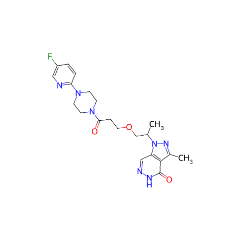 Cc1nn(C(C)COCCC(=O)N2CCN(c3ccc(F)cn3)CC2)c2cn[nH]c(=O)c12